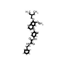 CCC(CC)COc1cc2nccc(Oc3ccc(NC(=O)C(=O)NCCc4ccccc4)cc3F)c2cc1OC